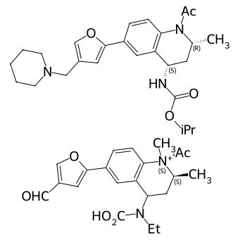 CC(=O)N1c2ccc(-c3cc(CN4CCCCC4)co3)cc2[C@@H](NC(=O)OC(C)C)C[C@H]1C.CCN(C(=O)O)C1C[C@H](C)[N@+](C)(C(C)=O)c2ccc(-c3cc(C=O)co3)cc21